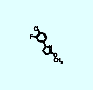 COC1=NC(c2ccc(Cl)c(F)c2)CC1